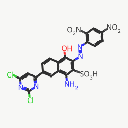 Nc1c(S(=O)(=O)O)c(N=Nc2ccc([N+](=O)[O-])cc2[N+](=O)[O-])c(O)c2ccc(-c3cc(Cl)nc(Cl)n3)cc12